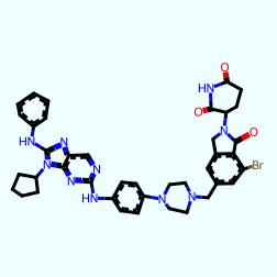 O=C1CCC(N2Cc3cc(CN4CCN(c5ccc(Nc6ncc7nc(Nc8ccccc8)n(C8CCCC8)c7n6)cc5)CC4)cc(Br)c3C2=O)C(=O)N1